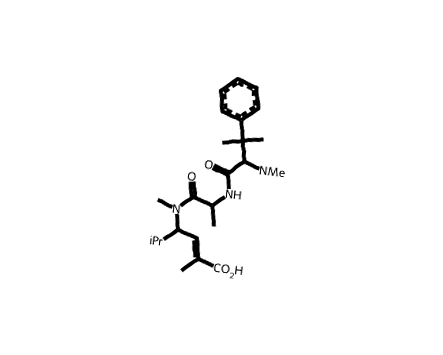 CNC(C(=O)NC(C)C(=O)N(C)C(C=C(C)C(=O)O)C(C)C)C(C)(C)c1ccccc1